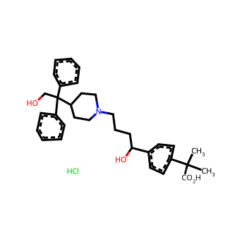 CC(C)(C(=O)O)c1ccc(C(O)CCCN2CCC(C(CO)(c3ccccc3)c3ccccc3)CC2)cc1.Cl